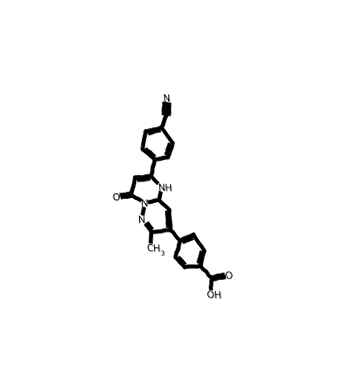 CC1=NN2C(=O)C=C(c3ccc(C#N)cc3)NC2C=C1c1ccc(C(=O)O)cc1